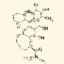 CC1O[C@@H](OC2[C@H](C)CCC[C@H]2O[C@@H]2OC(CO)[C@H](O)C3O[C@@H](C(=O)N(C)C)CCCCOC32)[C@@H](O)C(O)[C@@H]1O